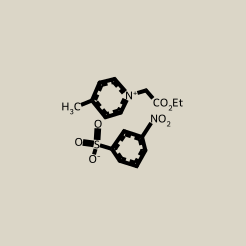 CCOC(=O)C[n+]1ccc(C)cc1.O=[N+]([O-])c1cccc(S(=O)(=O)[O-])c1